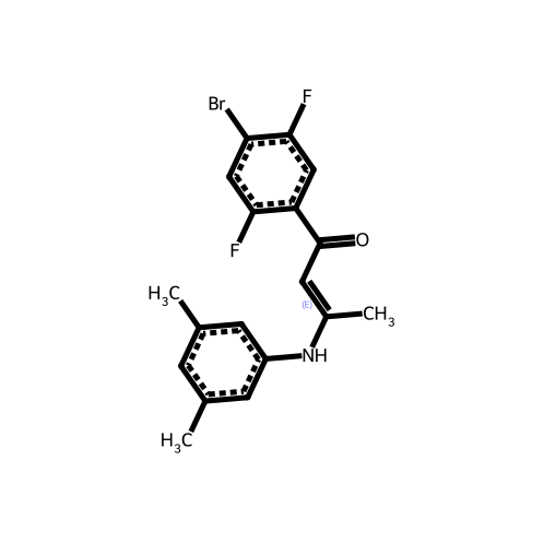 C/C(=C\C(=O)c1cc(F)c(Br)cc1F)Nc1cc(C)cc(C)c1